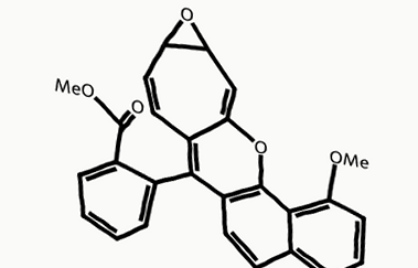 COC(=O)c1ccccc1C1=C2C=CC3OC3C=C2Oc2c1ccc1cccc(OC)c21